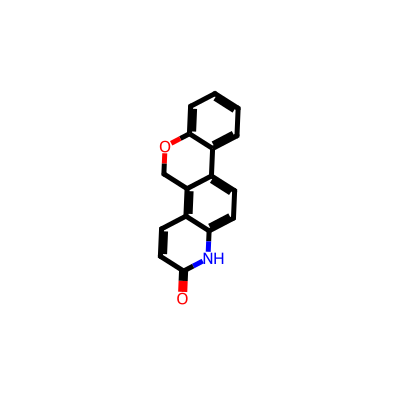 O=c1ccc2c3c(ccc2[nH]1)-c1ccccc1OC3